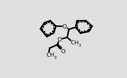 CCC(=O)OC(C)[C@@H](Oc1ccccc1)c1ccccc1